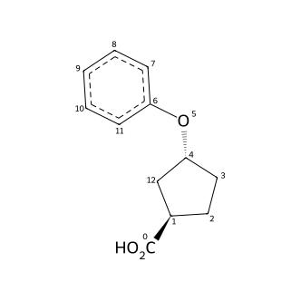 O=C(O)[C@@H]1CC[C@@H](Oc2ccccc2)C1